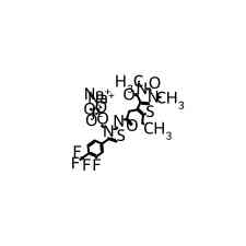 CCc1sc2c(c1CC(=O)N=c1scc(-c3ccc(C(F)(F)F)c(F)c3)n1COP(=O)([O-])[O-])c(=O)n(C)c(=O)n2C.[Na+].[Na+]